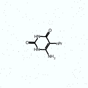 CCCc1c(N)[nH]c(=O)[nH]c1=O